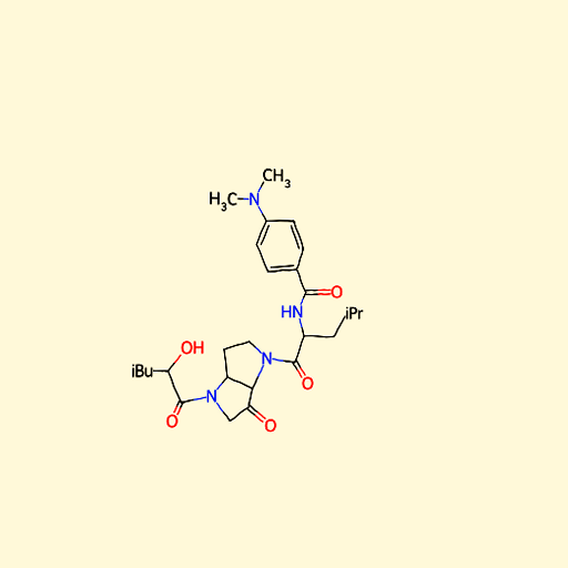 CCC(C)C(O)C(=O)N1CC(=O)C2C1CCN2C(=O)C(CC(C)C)NC(=O)c1ccc(N(C)C)cc1